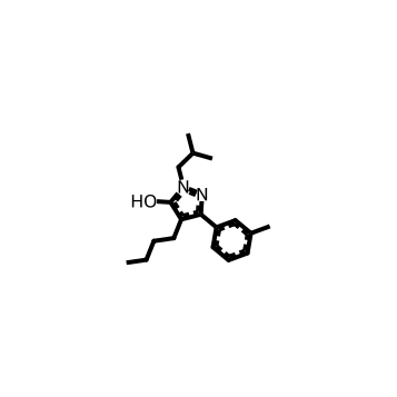 CCCCc1c(-c2cccc(C)c2)nn(CC(C)C)c1O